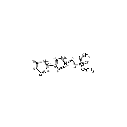 COP(=O)(CC[n+]1ccc(-c2ncccn2)cn1)OC